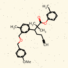 C#CCCC(c1ccc(C)c(COCc2ccc(OC)cc2)c1)C(C)(C)C(=O)Oc1cccc([CH2])c1